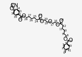 Cc1ccc(C(=O)OCCCCCC(=O)OCCOCCOC(=O)CCCCCOC(=O)c2ccc(OC#N)cc2)cc1